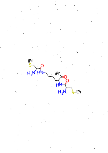 CC(C)SCC(N)C(=O)N[C@@H](CCCCNC(=O)[C@@H](N)CSC(C)C)C(=O)C(C)C